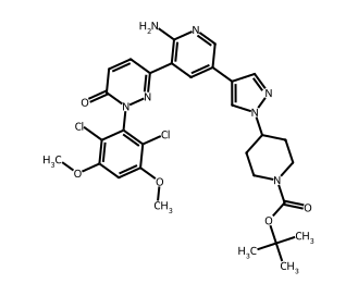 COc1cc(OC)c(Cl)c(-n2nc(-c3cc(-c4cnn(C5CCN(C(=O)OC(C)(C)C)CC5)c4)cnc3N)ccc2=O)c1Cl